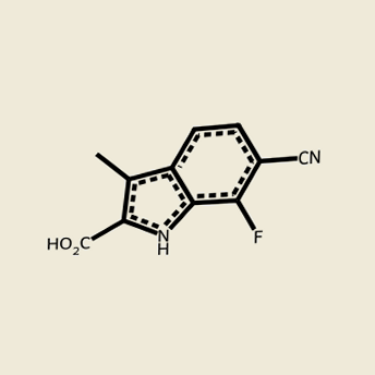 Cc1c(C(=O)O)[nH]c2c(F)c(C#N)ccc12